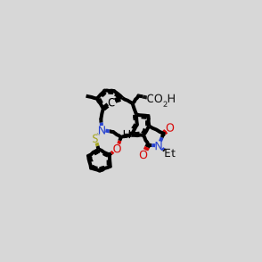 CCN1C(=O)c2cc3cc(c2C1=O)[C@@H]1CN(Cc2cc(ccc2C)C3CC(=O)O)Sc2ccccc2O1